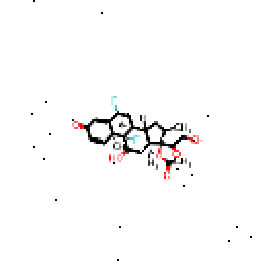 CC(=O)O[C@]1(C(=O)CO)[C@H](C)C[C@H]2[C@@H]3C[C@H](F)C4=CC(=O)C=C[C@]4(C)[C@@]3(F)C(O)C[C@@]21C